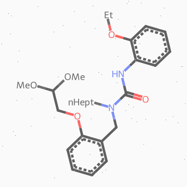 CCCCCCCN(Cc1ccccc1OCC(OC)OC)C(=O)Nc1ccccc1OCC